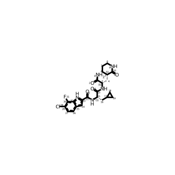 NC(=O)[C@H](C[C@@H]1CCCNC1=O)NC(=O)[C@H](CC1CC1)NC(=O)c1cc2ccc(Cl)c(F)c2[nH]1